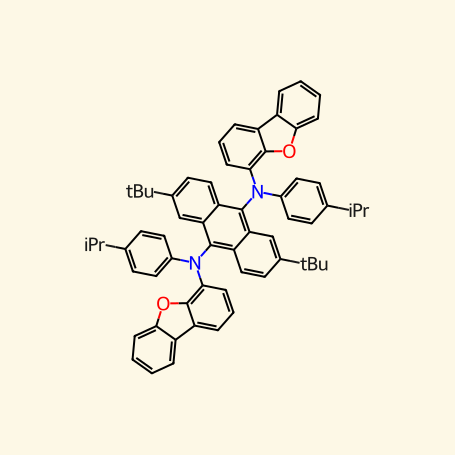 CC(C)c1ccc(N(c2c3ccc(C(C)(C)C)cc3c(N(c3ccc(C(C)C)cc3)c3cccc4c3oc3ccccc34)c3ccc(C(C)(C)C)cc23)c2cccc3c2oc2ccccc23)cc1